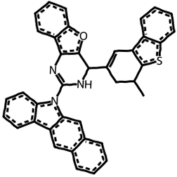 CC1CC(C2NC(n3c4ccccc4c4cc5ccccc5cc43)=Nc3c2oc2ccccc32)=Cc2c1sc1ccccc21